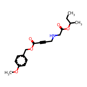 CCC(C)OC(=O)CNCC#CC(=O)OCc1ccc(OC)cc1